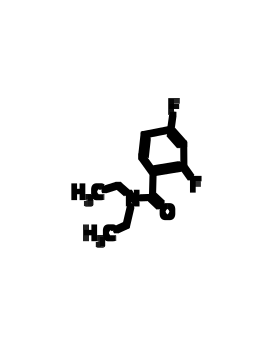 CCN(CC)C(=O)c1ccc(F)cc1F